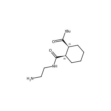 CC(C)(C)C(=O)[C@H]1CCCC[C@H]1C(=O)NCCN